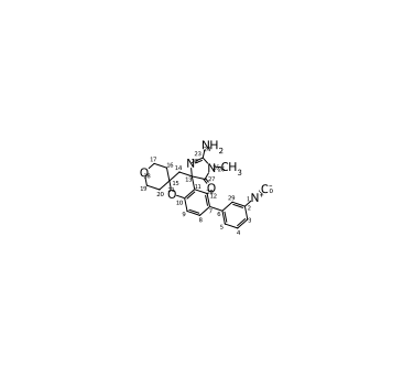 [C-]#[N+]c1cccc(-c2ccc3c(c2)C2(CC4(CCOCC4)O3)N=C(N)N(C)C2=O)c1